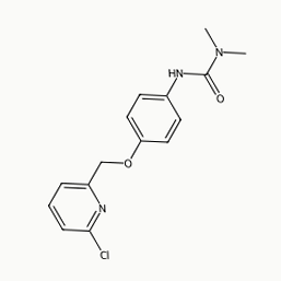 CN(C)C(=O)Nc1ccc(OCc2cccc(Cl)n2)cc1